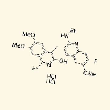 CCNc1nc2cc(F)c(OC)cc2cc1Cc1c(O)nc(CC)c2cc(OC)c(OC)cc12.Cl.Cl